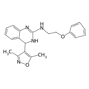 Cc1noc(C)c1C1NC(NCCOc2ccccc2)=Nc2ccccc21